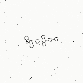 c1ccc(-c2ccc(-c3c4ccccc4c(-c4ccc(-c5cc6c7ccccc7oc6c6ccccc56)cc4)c4ccccc34)cc2)cc1